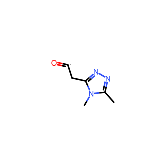 Cc1nnc(C[C]=O)n1C